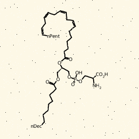 CCCCC/C=C\C/C=C\C/C=C\C/C=C\CCCCCC(=O)O[C@H](COC(=O)CCCCCCCCCCCCCCCCC)COP(=O)(O)OC[C@H](N)C(=O)O